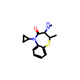 CNC1C(=O)N(C2CC2)c2ccccc2SC1C